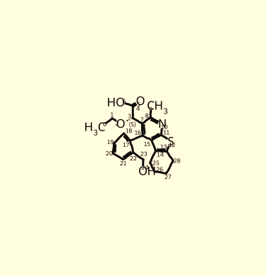 CCO[C@H](C(=O)O)c1c(C)nc2sc3c(c2c1-c1ccccc1CO)CCCC3